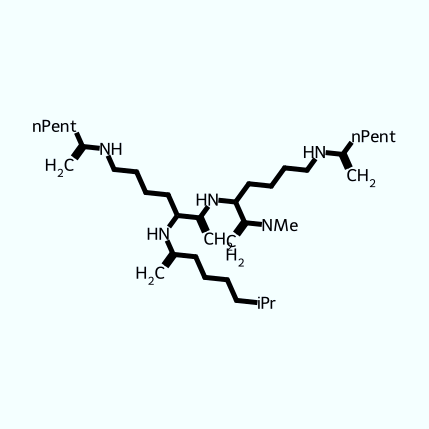 C=C(CCCCC)NCCCCC(NC(=C)CCCCC(C)C)C(=C)NC(CCCCNC(=C)CCCCC)C(=C)NC